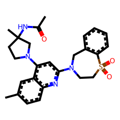 CC(=O)NC1(C)CCN(c2cc(N3CCS(=O)(=O)c4ccccc4C3)nc3ccc(C)cc23)C1